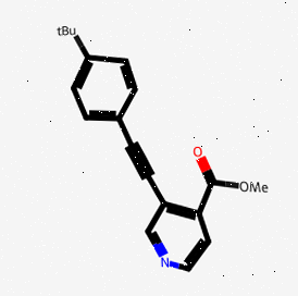 COC(=O)c1ccncc1C#Cc1ccc(C(C)(C)C)cc1